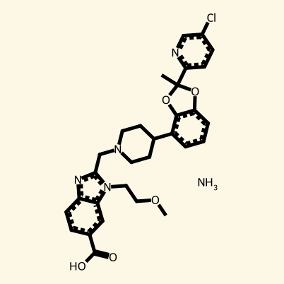 COCCn1c(CN2CCC(c3cccc4c3OC(C)(c3ccc(Cl)cn3)O4)CC2)nc2ccc(C(=O)O)cc21.N